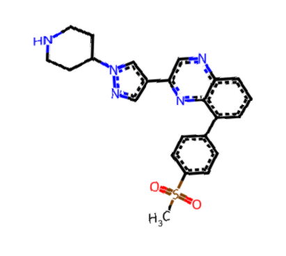 CS(=O)(=O)c1ccc(-c2cccc3ncc(-c4cnn(C5CCNCC5)c4)nc23)cc1